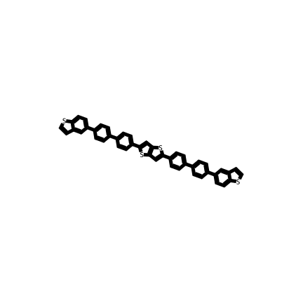 c1cc2cc(-c3ccc(-c4ccc(-c5cc6sc(-c7ccc(-c8ccc(-c9ccc%10sccc%10c9)cc8)cc7)cc6s5)cc4)cc3)ccc2s1